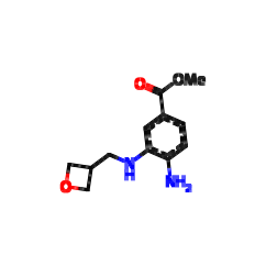 COC(=O)c1ccc(N)c(NCC2COC2)c1